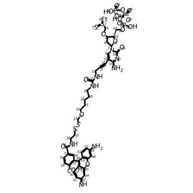 CCS(=S)COC1C[C@H](n2cc(C#CCNC(=O)NCCCCCOCSSCCNC(=O)c3ccc(C(=O)O)c(-c4c5ccc(=N)cc-5oc5cc(N)ccc45)c3)c(N)nc2=O)O[C@@H]1COP(=O)(O)OP(=O)(O)OP(=O)(O)O